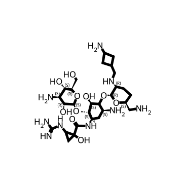 N=C(N)NC1CC1(O)C(=O)N[C@@H]1C[C@H](N)C(O[C@H]2O[C@H](CN)CC[C@H]2NCC2CC(N)C2)[C@H](O)[C@H]1O[C@H]1O[C@H](CO)[C@@H](O)[C@H](N)[C@H]1O